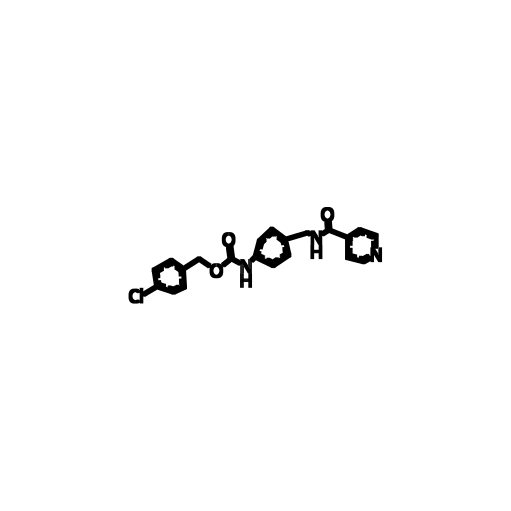 O=C(Nc1ccc(CNC(=O)c2ccncc2)cc1)OCc1ccc(Cl)cc1